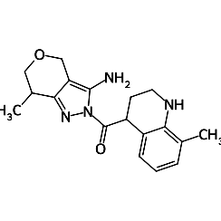 Cc1cccc2c1NCCC2C(=O)n1nc2c(c1N)COCC2C